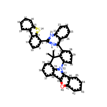 CC1(C)c2c(-c3nc(-c4cccc5c4sc4ccccc45)nc4ccccc34)cccc2-n2c3c1cccc3c1oc3ccccc3c12